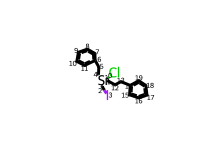 Cl[Si](CI)(CCc1ccccc1)CCc1ccccc1